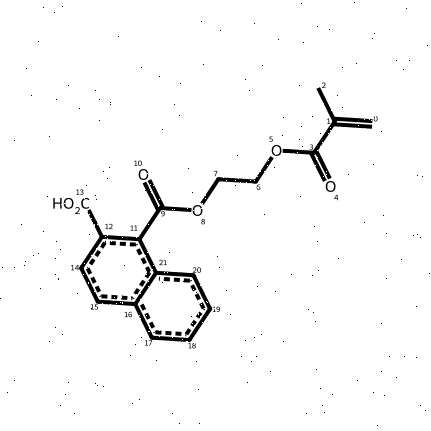 C=C(C)C(=O)OCCOC(=O)c1c(C(=O)O)ccc2ccccc12